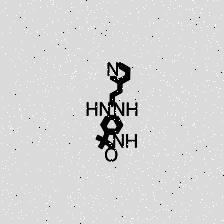 CC1(C)C(=O)Nc2cc3c(cc21)NC(CCc1cccnc1)N3